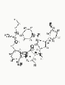 CCCN(C(=O)OCc1ccc(F)c(F)c1)C1CCN(CC2CC(N(C)[C@@H](C(=O)O)C(C)C)CC2c2cccc(F)c2)CC1